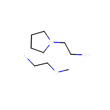 CNCCN.NCCN1CCCC1